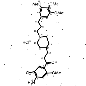 COc1cc(N)c(Cl)cc1C(=O)CCC1CCN(CCCc2cc(OC)c(OC)c(OC)c2)CC1.Cl